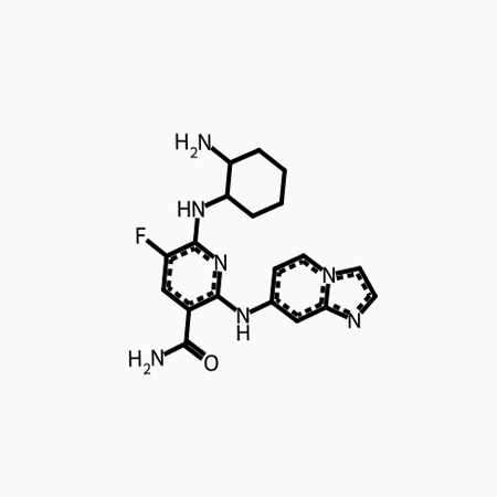 NC(=O)c1cc(F)c(NC2CCCCC2N)nc1Nc1ccn2ccnc2c1